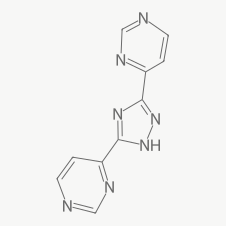 c1cc(-c2n[nH]c(-c3ccncn3)n2)ncn1